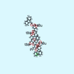 Cc1ccc(C(OC(=O)C(CC(=O)C(CC(=O)OC(C)(C)C)CC(=O)C(COC(C)(C)C)CC(=O)C(CC(=O)C(CC(=O)C(CC(=O)OCC2c3ccccc3-c3ccccc32)C(C)OC(C)(C)C)Cc2ccccc2)C(C)OC(C)(C)C)CC(C)C)(c2ccccc2)c2ccccc2Cl)cc1